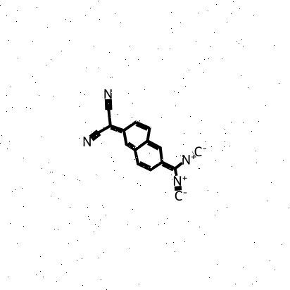 [C-]#[N+]C([N+]#[C-])=c1ccc2cc(=C(C#N)C#N)ccc2c1